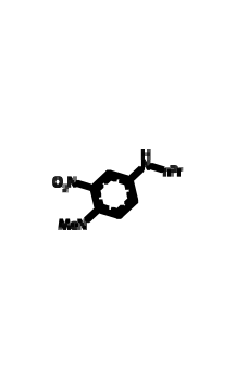 CCCNc1ccc(NC)c([N+](=O)[O-])c1